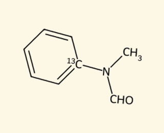 CN(C=O)[13c]1ccccc1